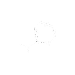 INc1ccccn1